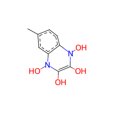 Cc1ccc2c(c1)N(O)C(O)=C(O)N2O